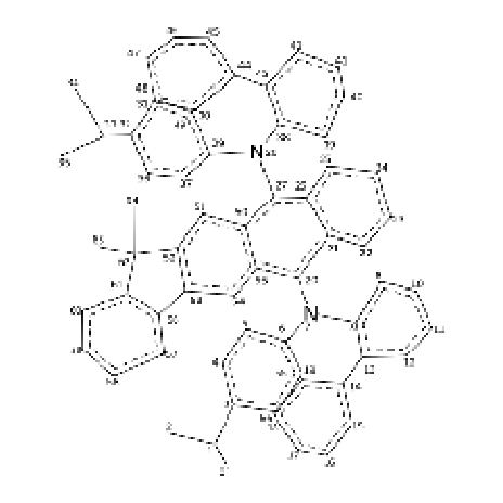 CC(C)c1ccc(N(c2ccccc2-c2ccccc2)c2c3ccccc3c(N(c3ccc(C(C)C)cc3)c3ccccc3-c3ccccc3)c3cc4c(cc23)-c2ccccc2C4(C)C)cc1